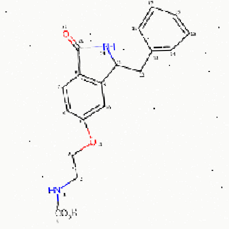 O=C(O)NCCOc1ccc2c(c1)C(Cc1ccccc1)NC2=O